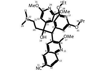 CCOc1cc(C(c2cc3cc(C#N)ccc3nc2OC)C(O)(CCN(C)C)c2cc(OC)nc(OC)c2)cc(OC(C)C)n1